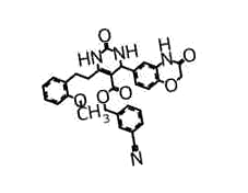 COc1ccccc1CCC1=C(C(=O)OCc2cccc(C#N)c2)C(c2ccc3c(c2)NC(=O)CO3)NC(=O)N1